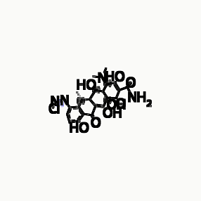 C[C@H]1c2c(/N=N\Cl)ccc(O)c2C(=O)C2=C(O)[C@]3(O)C(=O)C(C(N)=O)=C(O)[C@@H](N(C)C)C3[C@@H](O)C21